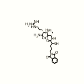 CC(C)C[C@H](NC(=O)C(S)CCCN1C(=O)c2ccccc2C1=O)C(=O)N[C@@H](CCCNC(=N)N)C(N)=O